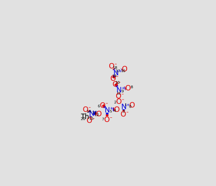 O=[N+]([O-])[O-].O=[N+]([O-])[O-].O=[N+]([O-])[O-].O=[N+]([O-])[O-].O=[N+]([O-])[O-].[Th]